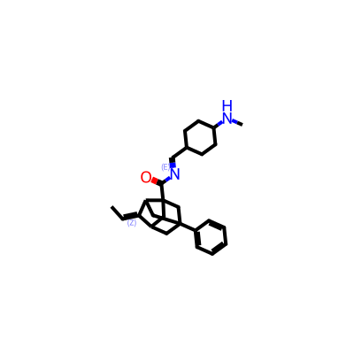 C/C=C1/C2CC3(c4ccccc4)CC1C(C(=O)/N=C/C1CCC(NC)CC1)(C2)C3